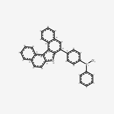 [O-][S+](c1ccccc1)c1ccc(-c2cc3ccccc3c3c2oc2ccc4ccccc4c23)cc1